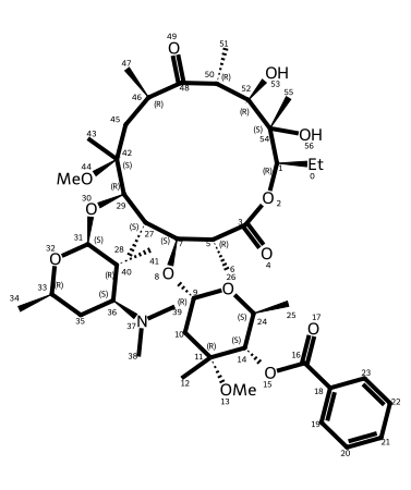 CC[C@H]1OC(=O)[C@H](C)[C@@H](O[C@H]2C[C@@](C)(OC)[C@@H](OC(=O)c3ccccc3)[C@H](C)O2)[C@H](C)[C@@H](O[C@@H]2O[C@H](C)C[C@H](N(C)C)[C@H]2C)[C@@](C)(OC)C[C@@H](C)C(=O)[C@H](C)[C@@H](O)[C@]1(C)O